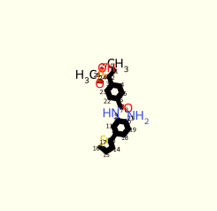 CCC(c1ccc(C(=O)Nc2cc(-c3cccs3)ccc2N)cc1)P(C)(=O)O